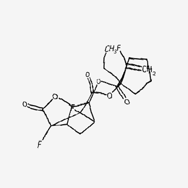 C=C(F)C(=O)OC1C2OC(=O)C3(F)C2CC1C3(F)C(=O)OC1(CC)CCCC1